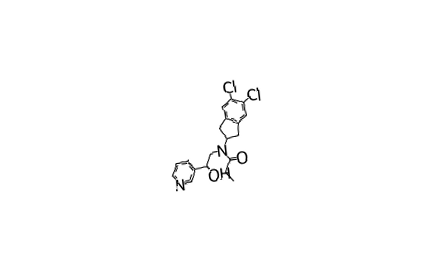 CCC(=O)N(CC(O)c1cccnc1)C1Cc2cc(Cl)c(Cl)cc2C1